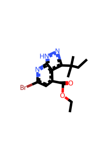 CCOC(=O)c1cc(Br)nc2[nH]nc(C(C)(C)CC)c12